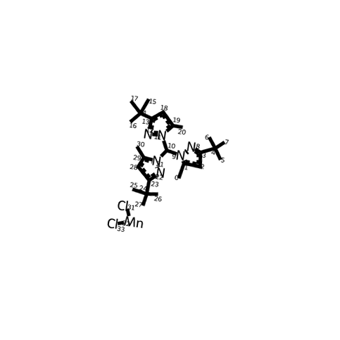 Cc1cc(C(C)(C)C)nn1C(n1nc(C(C)(C)C)cc1C)n1nc(C(C)(C)C)cc1C.[Cl][Mn][Cl]